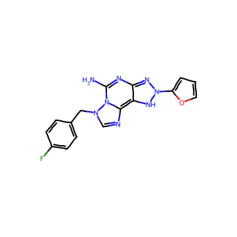 NC1=NC2=NN(c3ccco3)NC2=C2N=CN(Cc3ccc(F)cc3)N12